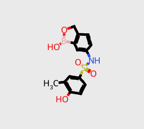 Cc1cc(S(=O)(=O)Nc2ccc3c(c2)B(O)OC3)ccc1O